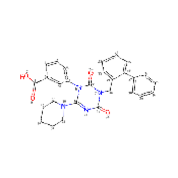 O=C(O)c1cccc(-n2c(N3CCCCC3)nc(=O)n(Cc3ccccc3-c3ccccc3)c2=O)c1